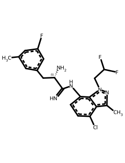 Cc1cc(F)cc(C[C@H](N)C(=N)Nc2ccc(Cl)c3c(C)nn(CC(F)F)c23)c1